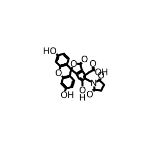 O=C1OC2(c3ccc(O)cc3Oc3cc(O)ccc32)c2cc(O)c(N3C(=O)CCC3=O)c(C(=O)O)c21